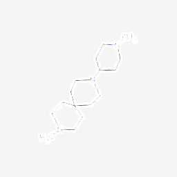 CN1CCC(N2CCC3(CCN(C)CC3)CC2)CC1